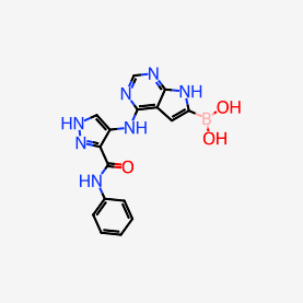 O=C(Nc1ccccc1)c1n[nH]cc1Nc1ncnc2[nH]c(B(O)O)cc12